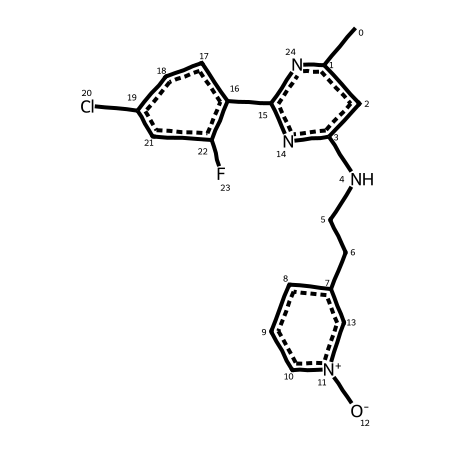 Cc1cc(NCCc2ccc[n+]([O-])c2)nc(-c2ccc(Cl)cc2F)n1